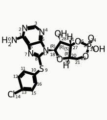 Nc1ncnc2c1nc(Sc1ccc(Cl)cc1)n2[C@@H]1O[C@@H]2COP(=O)(O)O[C@H]2[C@H]1O